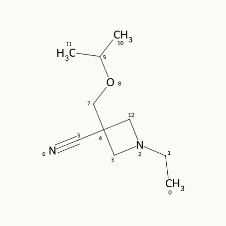 CCN1CC(C#N)(COC(C)C)C1